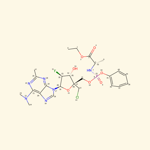 CCOC(=O)[C@H](C)N[P@](=O)(OC[C@@]1(CCl)O[C@@H](n2cnc3c(N(C)C)nc(C)nc32)[C@@H](F)[C@@H]1O)Oc1ccccc1